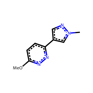 COc1ccc(-c2cnn(C)c2)nn1